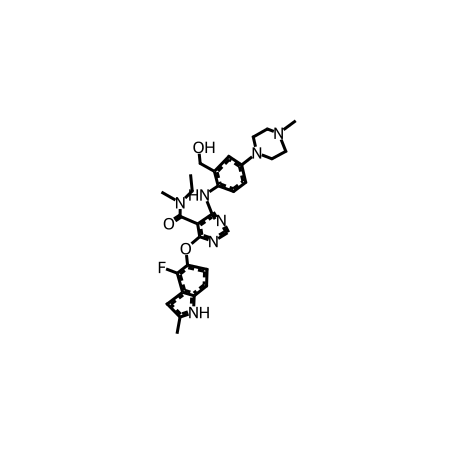 CCN(C)C(=O)c1c(Nc2ccc(N3CCN(C)CC3)cc2CO)ncnc1Oc1ccc2[nH]c(C)cc2c1F